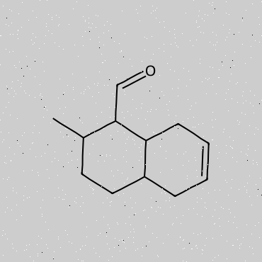 CC1CCC2CC=CCC2C1C=O